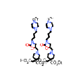 CCCN1CCN(CCCCN2CC(CN3CCC(CC(=O)O)(C(=O)O)CC3)OC2=O)CC1.CCCN1CCN(CCCCN2CC(CN3CCC(CC(=O)OCC)(C(=O)OCC)CC3)OC2=O)CC1